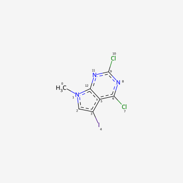 Cn1cc(I)c2c(Cl)nc(Cl)nc21